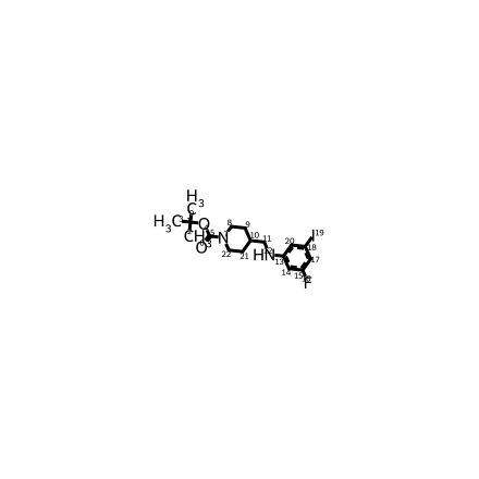 CC(C)(C)OC(=O)N1CCC(CNc2cc(F)cc(I)c2)CC1